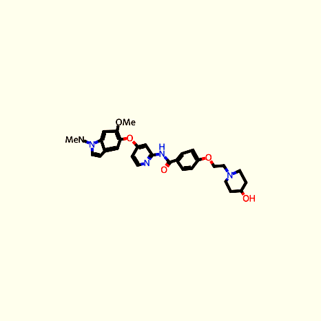 CNn1ccc2cc(Oc3ccnc(NC(=O)c4ccc(OCCN5CCC(O)CC5)cc4)c3)c(OC)cc21